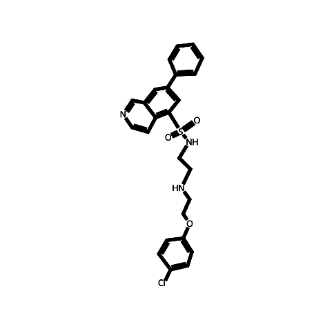 O=S(=O)(NCCNCCOc1ccc(Cl)cc1)c1cc(-c2ccccc2)cc2cnccc12